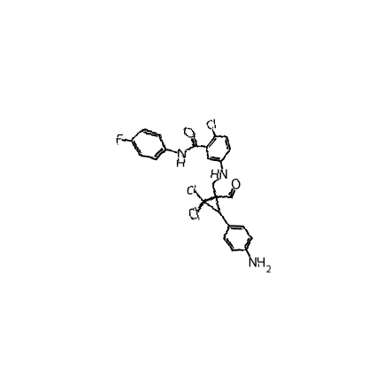 Nc1ccc(C2C(Cl)(Cl)C2(C=O)CNc2ccc(Cl)c(C(=O)Nc3ccc(F)cc3)c2)cc1